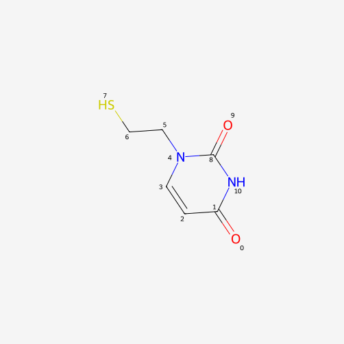 O=c1ccn(CCS)c(=O)[nH]1